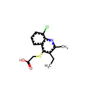 CCc1c(C)nc2c(Cl)cccc2c1SCC(=O)O